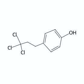 Oc1ccc(CCC(Cl)(Cl)Cl)cc1